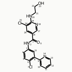 O=C(Nc1ccc(Cl)c(-c2ccccn2)c1)c1cnc(NCCO)c(Cl)c1